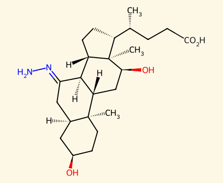 C[C@H](CCC(=O)O)[C@H]1CC[C@H]2[C@@H]3/C(=N/N)C[C@@H]4C[C@H](O)CC[C@]4(C)[C@H]3C[C@H](O)[C@]12C